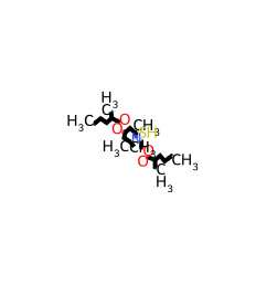 CCCCC(CC)C(=O)OCCN1C(C)(C)CC(OC(=O)C(CC)CCCC)CC1(C)S